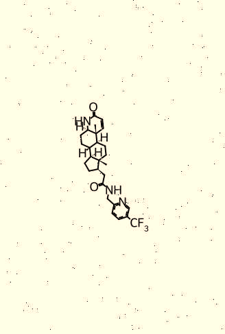 C[C@]12C=CC(=O)N[C@@H]1CC[C@@H]1[C@@H]2CC[C@]2(C)[C@@H](CC(=O)NCc3ccc(C(F)(F)F)cn3)CC[C@@H]12